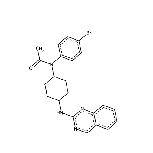 CC(=O)N(c1ccc(Br)cc1)C1CCC(Nc2ncc3ccccc3n2)CC1